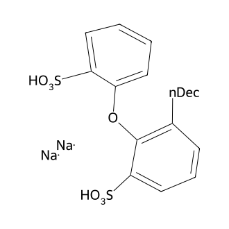 CCCCCCCCCCc1cccc(S(=O)(=O)O)c1Oc1ccccc1S(=O)(=O)O.[Na].[Na]